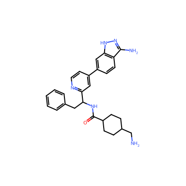 NCC1CCC(C(=O)NC(Cc2ccccc2)c2cc(-c3ccc4c(N)n[nH]c4c3)ccn2)CC1